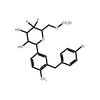 CCOC(=O)OCC1OC(c2ccc(C)c(Cc3ccc(CC)cc3)c2)C(O)C(O)C1(F)F